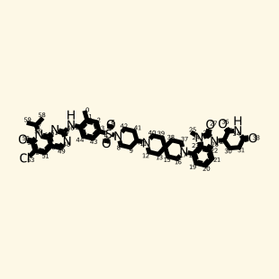 Cc1cc(S(=O)(=O)N2CCC(N3CCC4(CCN(c5cccc6c5n(C)c(=O)n6C5CCC(=O)NC5=O)CC4)CC3)CC2)ccc1Nc1ncc2cc(Cl)c(=O)n(C(C)C)c2n1